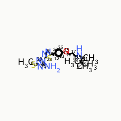 CSc1nc(N)n(-c2nnc(-c3ccc(OCCCNC(C)C(C)(C)C)cc3)s2)n1